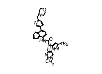 Cc1ncc(-n2nc(C(C)(C)C)cc2NC(=O)Nc2ccc(-c3ccc(CN4CCOCC4)nc3)c3ccccc23)cn1